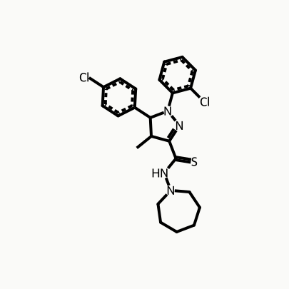 CC1C(C(=S)NN2CCCCCC2)=NN(c2ccccc2Cl)C1c1ccc(Cl)cc1